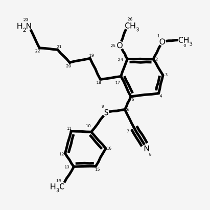 COc1ccc(C(C#N)Sc2ccc(C)cc2)c(CCCCCN)c1OC